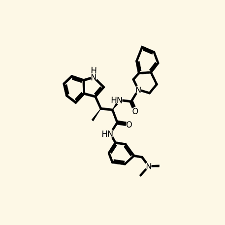 C[C@@H](c1c[nH]c2ccccc12)[C@@H](NC(=O)N1CCc2ccccc2C1)C(=O)Nc1cccc(CN(C)C)c1